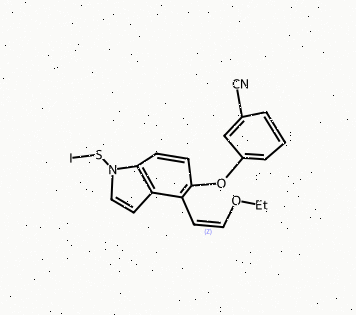 CCO/C=C\c1c(Oc2cccc(C#N)c2)ccc2c1ccn2SI